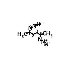 CC(CCC(C)N=[N+]=[N-])N=[N+]=[N-]